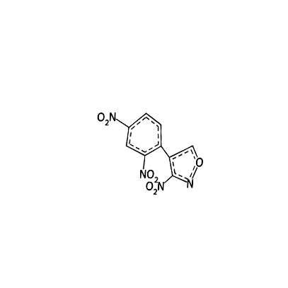 O=[N+]([O-])c1ccc(-c2conc2[N+](=O)[O-])c([N+](=O)[O-])c1